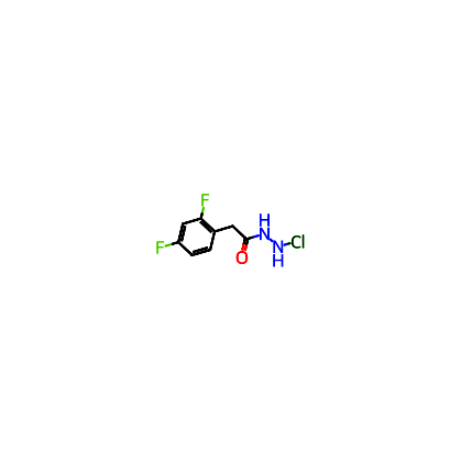 O=C(Cc1ccc(F)cc1F)NNCl